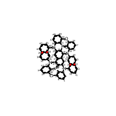 O=P12c3c4cccc3N(c3ccccc3)c3cc5c6c7c(cc5c(c31)N(c1ccccc1)c1cccc(c12)O4)N(c1ccccc1)c1cccc2c1P7(=O)c1c(cccc1N6c1ccccc1)O2